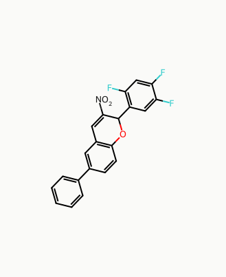 O=[N+]([O-])C1=Cc2cc(-c3ccccc3)ccc2OC1c1cc(F)c(F)cc1F